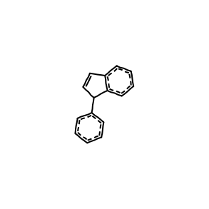 C1=CC(c2ccccc2)c2ccccc21